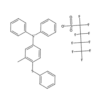 Cc1cc([S+](c2ccccc2)c2ccccc2)ccc1Sc1ccccc1.O=S(=O)([O-])C(F)(F)C(F)(F)C(F)(F)C(F)(F)F